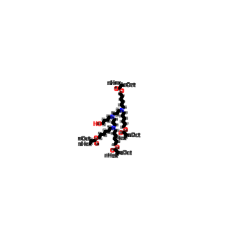 CCCCCCCCC(CCCCCC)C(=O)OCCCCCCN(CCCCCCOC(=O)C(CCCCCC)CCCCCCCC)CCCN(CCCCO)CCCN(CCCCCCOC(=O)C(CCCCCC)CCCCCCCC)CCCCCCOC(=O)C(CCCCCC)CCCCCCCC